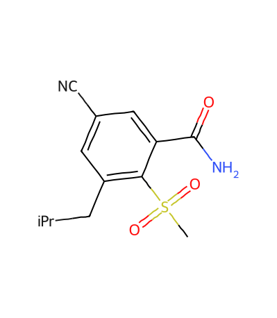 CC(C)Cc1cc(C#N)cc(C(N)=O)c1S(C)(=O)=O